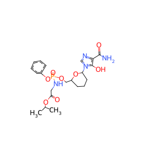 CC(C)OC(=O)CNP(=O)(OCC1CCCC(n2cnc(C(N)=O)c2O)O1)Oc1ccccc1